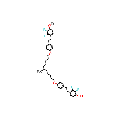 CCOc1ccc(CCc2ccc(OCCCCCC(CCCCCOc3ccc(CCc4ccc(O)c(F)c4F)cc3)C(F)(F)F)cc2)c(F)c1F